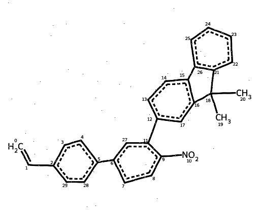 C=Cc1ccc(-c2ccc([N+](=O)[O-])c(-c3ccc4c(c3)C(C)(C)c3ccccc3-4)c2)cc1